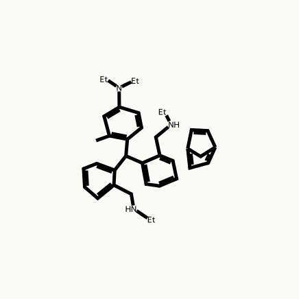 C1=CC2=CC=C1C2.CCNCc1ccccc1C(c1ccc(N(CC)CC)cc1C)c1ccccc1CNCC